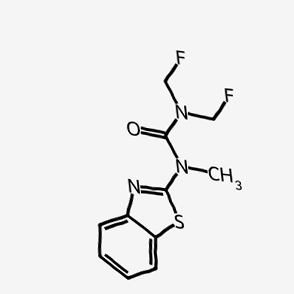 CN(C(=O)N(CF)CF)c1nc2ccccc2s1